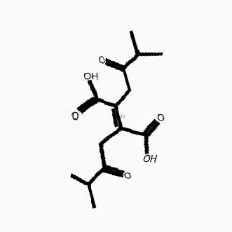 CC(C)C(=O)C/C(C(=O)O)=C(/CC(=O)C(C)C)C(=O)O